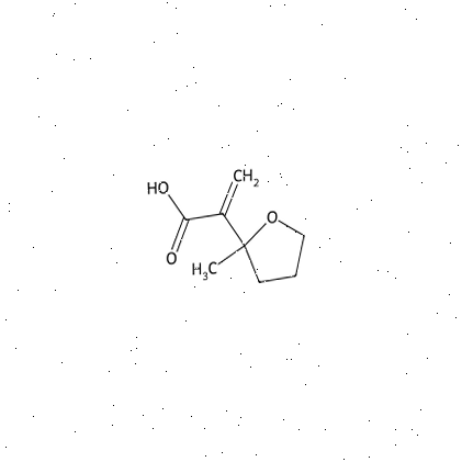 C=C(C(=O)O)C1(C)CCCO1